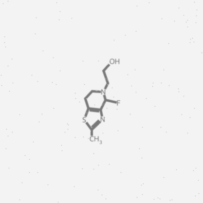 Cc1nc2c(s1)CCN(CCO)C2F